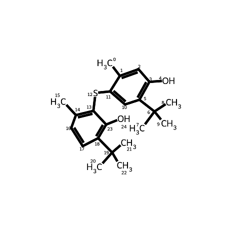 Cc1cc(O)c(C(C)(C)C)cc1Sc1c(C)ccc(C(C)(C)C)c1O